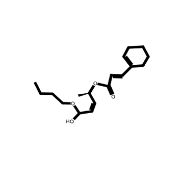 CCCCOC(O)/C=C\[C@@H](C)OC(=O)/C=C/C1=CCCCC1